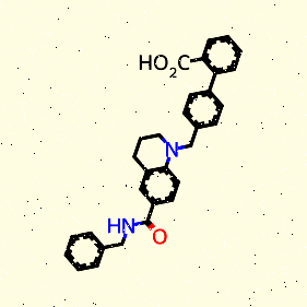 O=C(NCc1ccccc1)c1ccc2c(c1)CCCN2Cc1ccc(-c2ccccc2C(=O)O)cc1